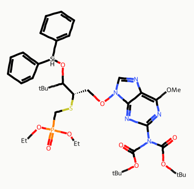 CCOP(=O)(CS[C@@H](COn1cnc2c(OC)nc(N(C(=O)OC(C)(C)C)C(=O)OC(C)(C)C)nc21)C(O[SiH](c1ccccc1)c1ccccc1)C(C)(C)C)OCC